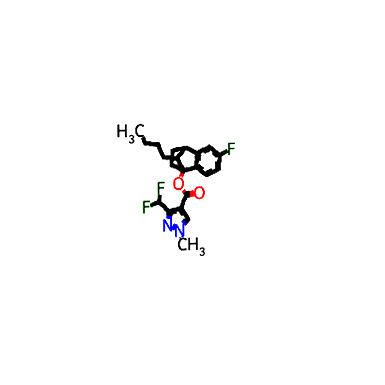 CCCCC1C2CCC1(OC(=O)c1cn(C)nc1C(F)F)c1ccc(F)cc12